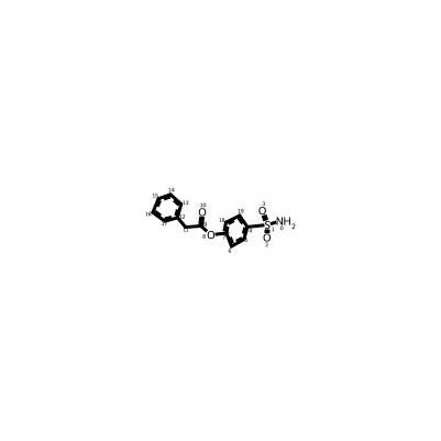 NS(=O)(=O)c1ccc(OC(=O)Cc2ccccc2)cc1